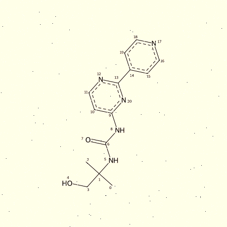 CC(C)(CO)NC(=O)Nc1ccnc(-c2ccncc2)n1